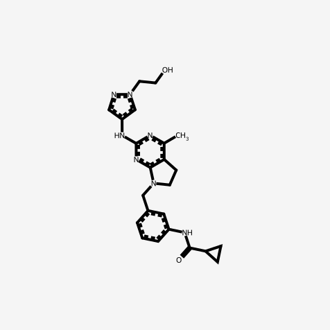 Cc1nc(Nc2cnn(CCO)c2)nc2c1CCN2Cc1cccc(NC(=O)C2CC2)c1